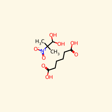 CC(C)(C(O)O)[N+](=O)[O-].O=C(O)CCCCC(=O)O